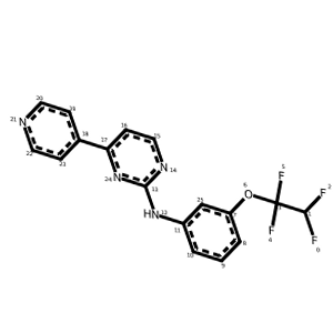 FC(F)C(F)(F)Oc1cccc(Nc2nccc(-c3ccncc3)n2)c1